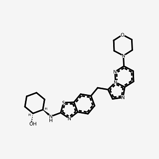 O[C@@H]1CCCC[C@H]1Nc1nc2ccc(Cc3cnc4ccc(N5CCOCC5)nn34)cc2s1